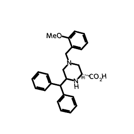 COc1ccccc1CN1CC(C(c2ccccc2)c2ccccc2)N[C@@H](C(=O)O)C1